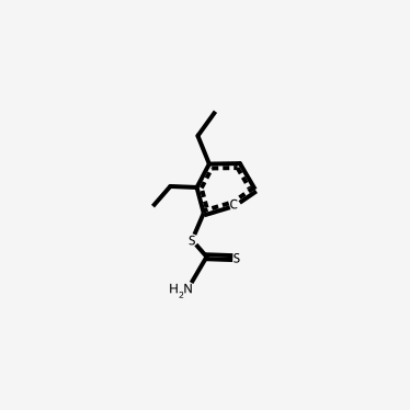 CCc1cccc(SC(N)=S)c1CC